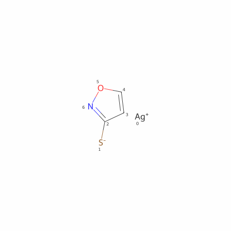 [Ag+].[S-]c1ccon1